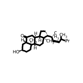 CC(C)C(C)/C=C\[C@@H](C)[C@H]1CC[C@H]2[C@@H]3CC(=O)[C@H]4C[C@H](O)CC[C@]4(C)[C@H]3CC[C@]12C